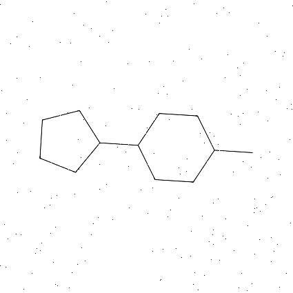 CC1CCC(C2CCCC2)CC1